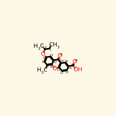 CCC(C)Oc1cc(C)c2oc3ccc(C(=O)O)cc3c(=O)c2c1